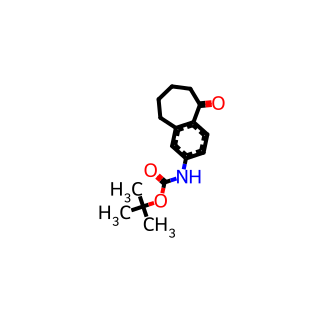 CC(C)(C)OC(=O)Nc1ccc2c(c1)CCCCC2=O